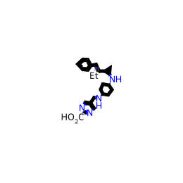 CC/C(=C\c1ccccc1)C1CC1N[C@H]1CC[C@H](NCc2cnc(C(=O)O)nc2)CC1